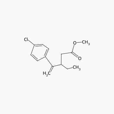 C=C(c1ccc(Cl)cc1)C(CC)CC(=O)OC